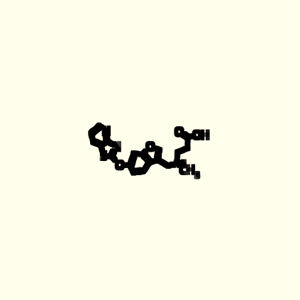 C[As](CCC(=O)O)Cc1coc2cc(Oc3nc4ncccc4s3)ccc12